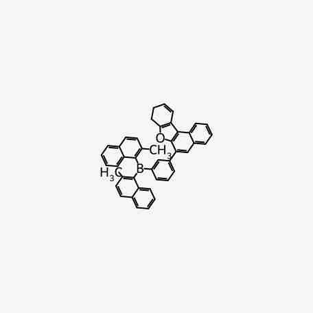 Cc1ccc2ccccc2c1B(c1cccc(-c2cc3ccccc3c3c4c(oc23)CCC=C4)c1)c1c(C)ccc2ccccc12